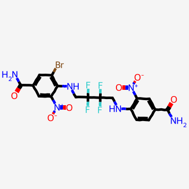 NC(=O)c1ccc(NCC(F)(F)C(F)(F)CNc2c(Br)cc(C(N)=O)cc2[N+](=O)[O-])c([N+](=O)[O-])c1